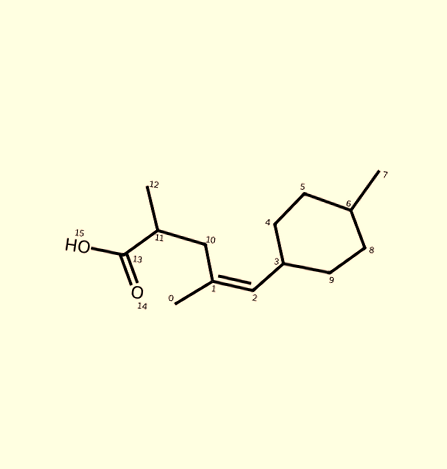 CC(=CC1CCC(C)CC1)CC(C)C(=O)O